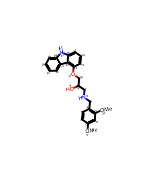 COc1ccc(CNCC(O)COc2cccc3[nH]c4ccccc4c23)c(OC)c1